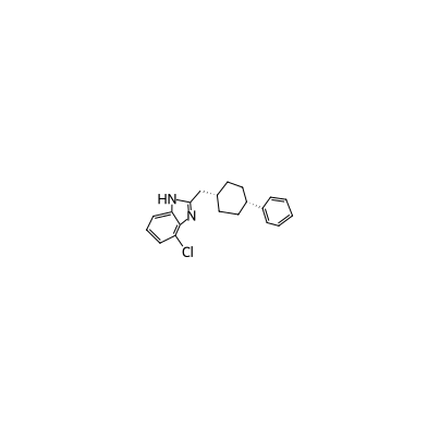 Clc1cccc2[nH]c(C[C@H]3CC[C@@H](c4ccccc4)CC3)nc12